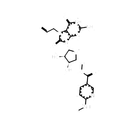 C=CCn1c(=O)n([C@@H]2O[C@H](COC(=O)c3ccc(NC)nc3)[C@@H](O)[C@H]2O)c2nc(N)[nH]c(=O)c21